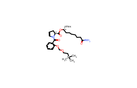 CCCCCC[C@H](CCCCCCC(N)=O)OC(=O)[C@@H]1CC=CN1C(=O)c1ccccc1OCOCC[Si](C)(C)C